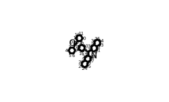 O=P(c1ccccc1)(c1ccccc1)c1ccc(-c2c3cc4ccccc4cc3nc3cc4ccccc4cc23)cc1